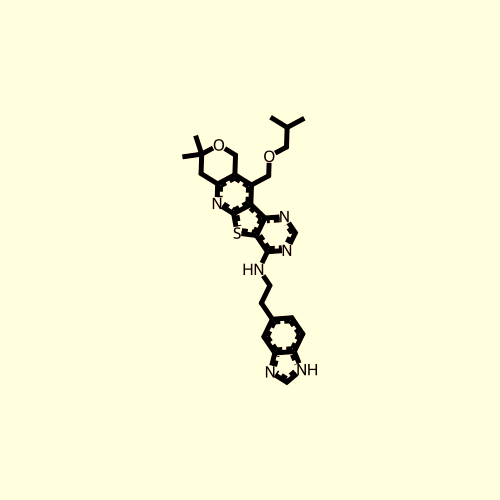 CC(C)COCc1c2c(nc3sc4c(NCCc5ccc6[nH]cnc6c5)ncnc4c13)CC(C)(C)OC2